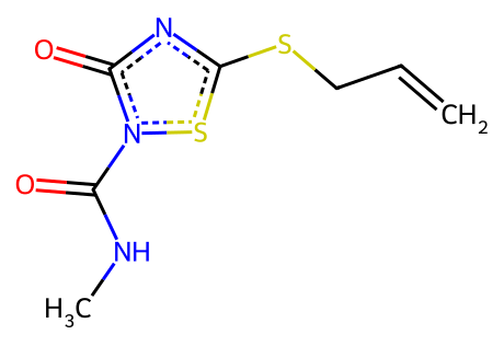 C=CCSc1nc(=O)n(C(=O)NC)s1